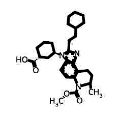 COC(=O)N1c2ccc3c(nc(CCC4CCCCC4)n3[C@@H]3CCC[C@@H](C(=O)O)C3)c2CCC1C